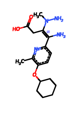 Cc1nc(/C(N)=C(\CC(=O)O)N(C)N)ccc1OC1CCCCC1